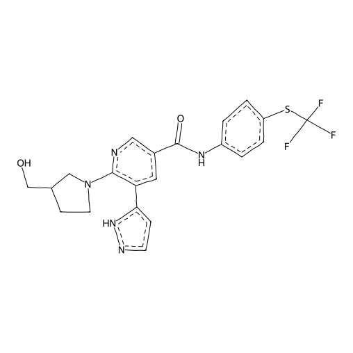 O=C(Nc1ccc(SC(F)(F)F)cc1)c1cnc(N2CCC(CO)C2)c(-c2ccn[nH]2)c1